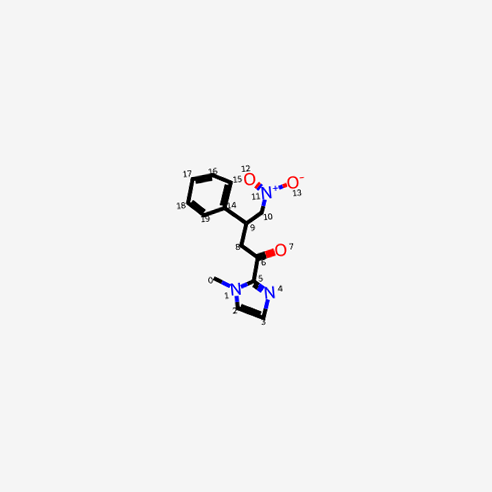 Cn1ccnc1C(=O)CC(C[N+](=O)[O-])c1ccccc1